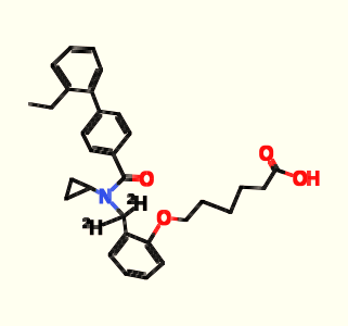 [2H]C([2H])(c1ccccc1OCCCCCC(=O)O)N(C(=O)c1ccc(-c2ccccc2CC)cc1)C1CC1